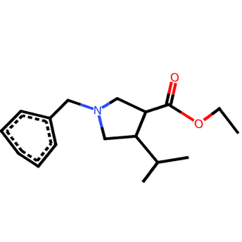 CCOC(=O)C1CN(Cc2ccccc2)CC1C(C)C